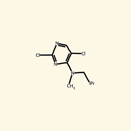 CC(C)CN(C)c1nc(Cl)ncc1Cl